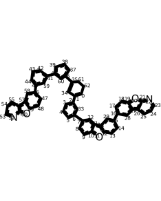 C1=C(c2cccc(-c3ccc4oc5ccc(-c6ccc7oc8ncccc8c7c6)cc5c4c3)c2)C=C(c2cccc(-c3cccc(-c4ccc5oc6ncccc6c5c4)c3)c2)CC1